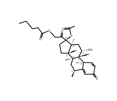 CCCCC(=O)OCC(=O)[C@@]1(OC(C)=O)CC[C@H]2[C@@H]3C[C@H](C)C4=CC(=O)C=C[C@]4(C)[C@H]3[C@@H](O)C[C@@]21C